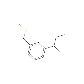 CCC(C)c1cccc(CSC)c1